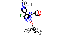 C[Si](C)(C)CCOCn1c(C2CCOCC2)nc2c(C3CCN(C(=O)O)CC3)c(F)cnc21